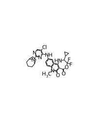 Cn1c(=O)c2c(c3cc(Nc4nc(N5C6CCCC5CC6)ncc4Cl)ccc31)NC(C1CC1)C(F)(F)OC2=O